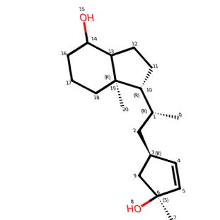 C[C@H](C[C@H]1C=C[C@@](C)(O)C1)[C@H]1CCC2C(O)CCC[C@@]21C